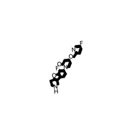 O=c1cc(OCc2ccc(F)cn2)ccn1-c1ccc2c3c(oc2c1F)CCNC3